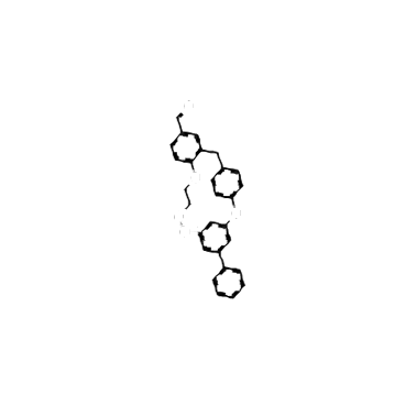 COCCOc1ccc(C=O)cc1Cc1ccc(Oc2cccc(-c3ccccc3)c2)cc1